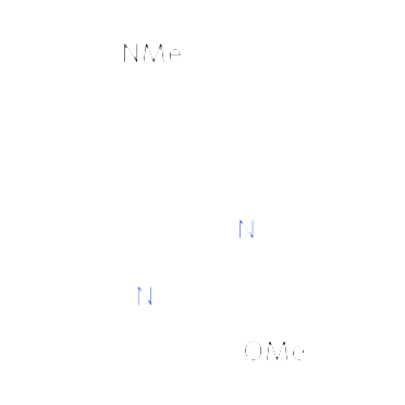 CNCc1cnc(OC)nc1